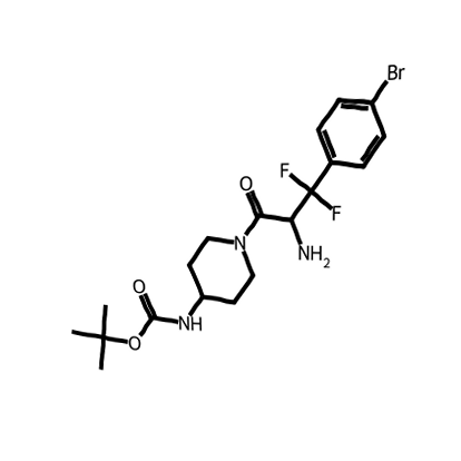 CC(C)(C)OC(=O)NC1CCN(C(=O)C(N)C(F)(F)c2ccc(Br)cc2)CC1